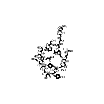 CC(C)[C@H](NC(=O)CNC(=O)[C@H](CCCNC(=N)N)NC(=O)[C@H](C)NC(=O)[C@H](CS)NC(=O)[C@H](Cc1ccccc1)NC(=O)[C@H](Cc1ccc(O)cc1)NC(=O)[C@@H](NC(=O)[C@H](C)NC(=O)[C@@H](NC(=O)[C@H](CC(=O)O)NC(=O)[C@H](CCC(=O)O)NC(=O)[C@@H](NC(=O)[C@@H](NC(=O)[C@@H]1CCCN1C(=O)[C@@H](N)CO)[C@@H](C)O)[C@@H](C)O)[C@@H](C)O)[C@@H](C)O)C(=O)NCC(=O)NCC(=O)NCC(=O)N[C@@H](CC(N)=O)C(=O)O